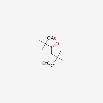 CCOC(=O)C(C)(C)CC(=O)C(C)(C)OC(C)=O